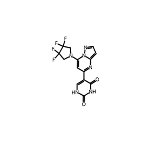 O=c1[nH]cc(-c2cc(N3CC(F)(F)C(F)(F)C3)n3nccc3n2)c(=O)[nH]1